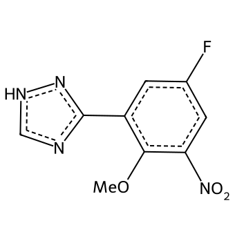 COc1c(-c2nc[nH]n2)cc(F)cc1[N+](=O)[O-]